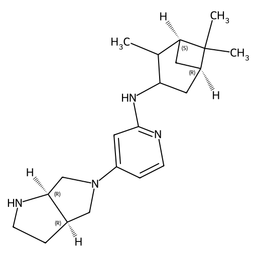 CC1C(Nc2cc(N3C[C@H]4CCN[C@H]4C3)ccn2)C[C@H]2C[C@@H]1C2(C)C